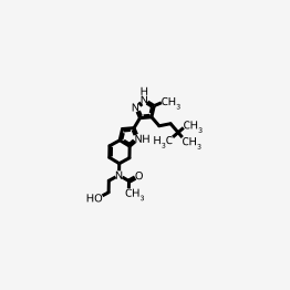 CC(=O)N(CCO)C1C=Cc2cc(-c3n[nH]c(C)c3CCC(C)(C)C)[nH]c2C1